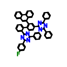 Fc1ccc(-c2nc(-c3ccccc3)nc(-c3ccccc3-c3ccc(-c4nc(-c5ccccc5)nc(-c5ccccc5)n4)cc3-c3cc4ccccc4c4ccccc34)n2)cc1